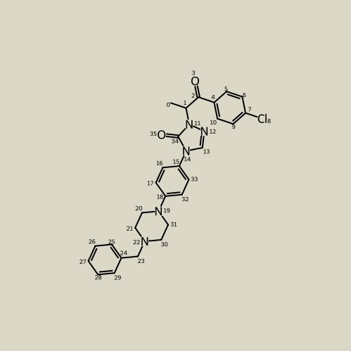 CC(C(=O)c1ccc(Cl)cc1)n1ncn(-c2ccc(N3CCN(Cc4ccccc4)CC3)cc2)c1=O